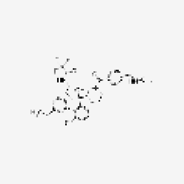 CCc1cccc(-c2c(Cl)cccc2C(O)(CCCNC(=O)C(F)(F)F)[C@@H]2CCCN(C(=O)c3ccc(CNC)cc3)C2)c1